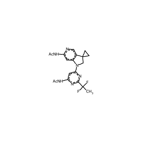 CC(=O)Nc1cc2c(cn1)C1(CC1)CN2c1cc(NC(C)=O)nc(C(C)(F)F)n1